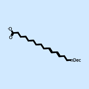 CCCCCCCCCCCC/C=C/C=C/CCCCCCCCC([O])=O